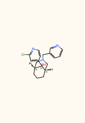 O[C@]1(c2ccnc(Cl)c2)[C@@H]2CCC[C@H]1CN(Cc1cccnc1)C2